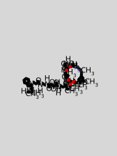 CNN(C)Cc1cc2ccccc2n1CCC(=O)NCCNC(=O)[C@H](O)[C@H](O)C(=O)NCCC(=O)N(C)[C@@H](C)C(=O)O[C@H]1CC(=O)N(C)c2cc(cc(OC)c2Cl)C/C(C)=C/C=C/[C@@H](O)[C@@]2(O)C[C@H](OC(=O)N2)C2(C)C[C@@]1(C)O2